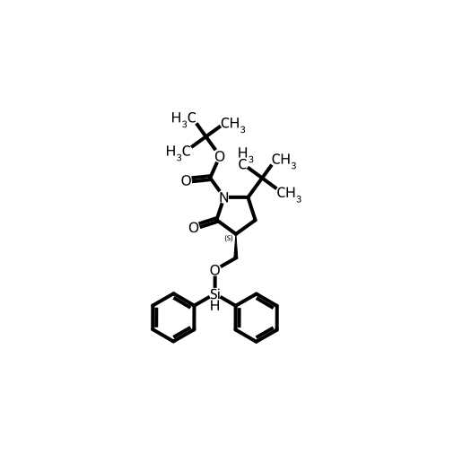 CC(C)(C)OC(=O)N1C(=O)[C@H](CO[SiH](c2ccccc2)c2ccccc2)CC1C(C)(C)C